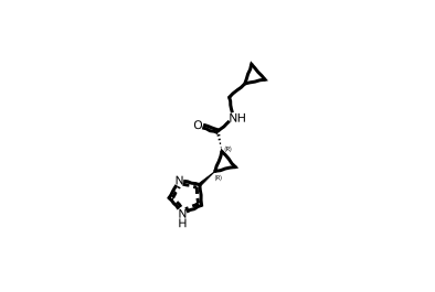 O=C(NCC1CC1)[C@@H]1C[C@H]1c1c[nH]cn1